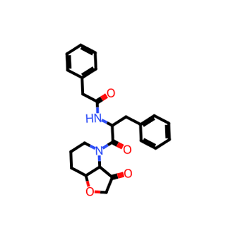 O=C(Cc1ccccc1)NC(Cc1ccccc1)C(=O)N1CCCC2OCC(=O)C21